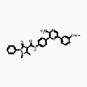 COc1[c]ccc(-c2cnc(N)c(-c3ccc(NC(=O)c4c(C)n(C)n(-c5ccccc5)c4=O)cc3)n2)c1